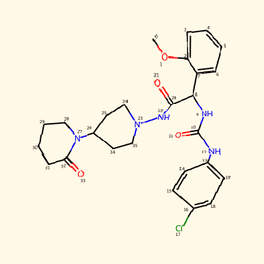 COc1ccccc1C(NC(=O)Nc1ccc(Cl)cc1)C(=O)NN1CCC(N2CCCCC2=O)CC1